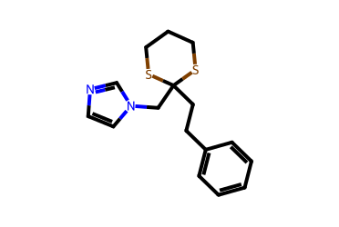 c1ccc(CCC2(Cn3ccnc3)SCCCS2)cc1